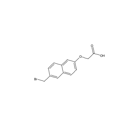 O=C(O)COc1ccc2cc(CBr)ccc2c1